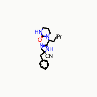 CC(C)CC(C1=NCC(C#N)(Cc2ccccc2)N1)N1CCCNC1=O